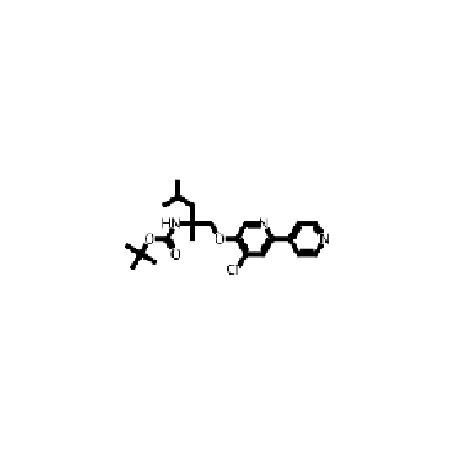 CC(C)CC(C)(COc1cnc(-c2ccncc2)cc1Cl)NC(=O)OC(C)(C)C